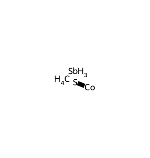 C.[S]=[Co].[SbH3]